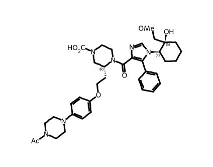 COC[C@]1(O)CCCC[C@H]1n1cnc(C(=O)N2CCN(C(=O)O)C[C@H]2CCOc2ccc(N3CCN(C(C)=O)CC3)cc2)c1-c1ccccc1